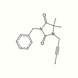 CC1(C)C(=O)N(Cc2ccccc2)C(=O)N1CC#CI